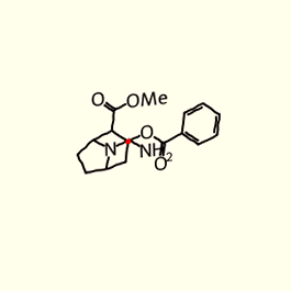 COC(=O)C1C(OC(=O)c2ccccc2)CC2CCC1N2CN